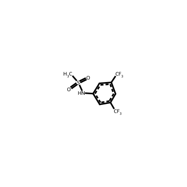 CS(=O)(=O)Nc1cc(C(F)(F)F)cc(C(F)(F)F)c1